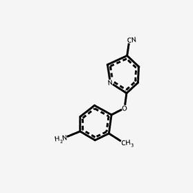 Cc1cc(N)ccc1Oc1ccc(C#N)cn1